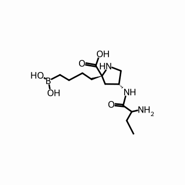 CCC(N)C(=O)N[C@H]1CN[C@@](CCCCB(O)O)(C(=O)O)C1